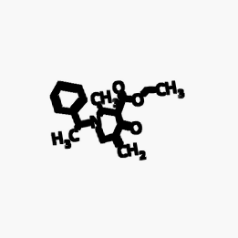 C=C1CN(C(C)c2ccccc2)[C@@H](C)C(C(=O)OCC)C1=O